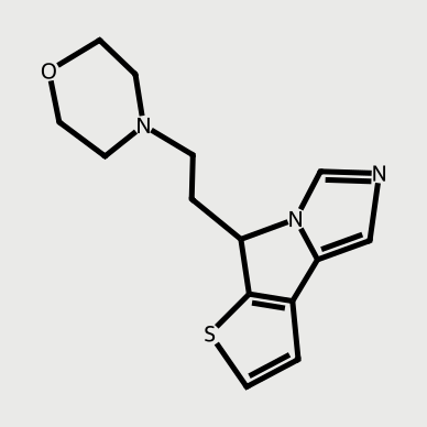 c1cc2c(s1)C(CCN1CCOCC1)n1cncc1-2